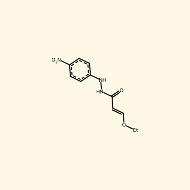 CCO/C=C/C(=O)NNc1ccc([N+](=O)[O-])cc1